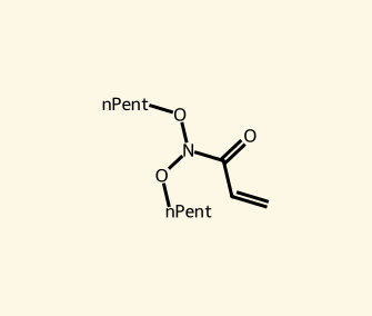 C=CC(=O)N(OCCCCC)OCCCCC